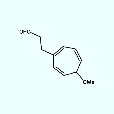 COC1C=CC=C(CCC=O)C=C1